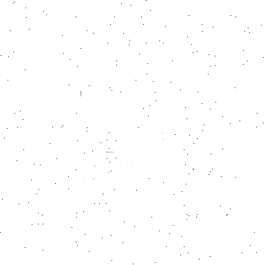 N#Cc1cc2c(c3c1C1CC4CC(C1)CC3C4)c1c3oc4cc5c(cc4c3cc3c4cc6c(cc4n2c31)C(=O)C1c2ccccc2C2c3ccccc3C612)C1CC2CC3CC5CC32C1